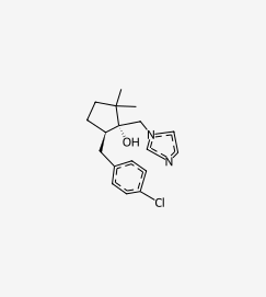 CC1(C)CC[C@H](Cc2ccc(Cl)cc2)[C@]1(O)Cn1ccnc1